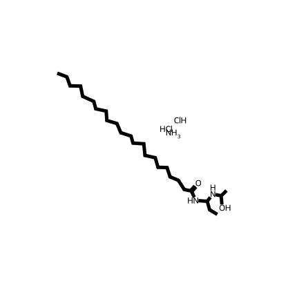 CCCCCCCCCCCCCCCCCCCCCC(=O)NC(CC)NC(C)O.Cl.Cl.N